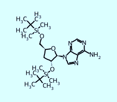 CC(C)(C)[Si](C)(C)OC[C@@H]1C[C@@H](O[Si](C)(C)C(C)(C)C)[C@H](n2cnc3c(N)ncnc32)O1